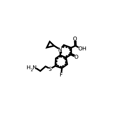 NCCSc1cc2c(cc1F)c(=O)c(C(=O)O)cn2C1CC1